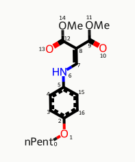 CCCCCOc1ccc(NC=C(C(=O)OC)C(=O)OC)cc1